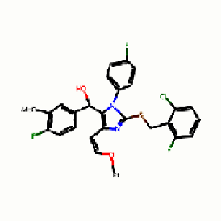 CCO/C=C\c1nc(SCc2c(F)cccc2Cl)n(-c2ccc(F)cc2)c1C(O)c1ccc(F)c(OC)c1